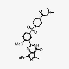 CCCc1nc(C)c2c(=O)[nH]c(-c3cc(S(=O)(=O)N4CCN(C(=O)CN(C)C)CC4)ccc3OC)nn12